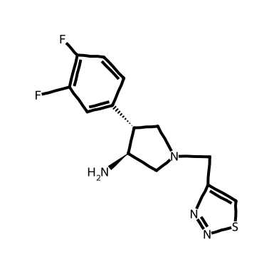 N[C@@H]1CN(Cc2csnn2)C[C@H]1c1ccc(F)c(F)c1